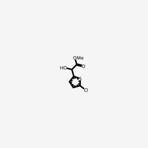 COC(=O)C(O)c1ccc(Cl)s1